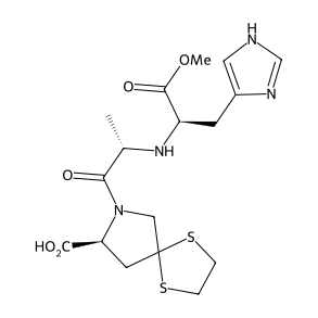 COC(=O)[C@@H](Cc1c[nH]cn1)N[C@@H](C)C(=O)N1CC2(C[C@H]1C(=O)O)SCCS2